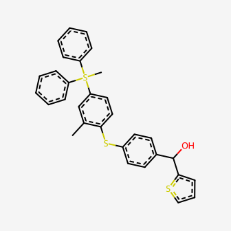 Cc1cc(S(C)(c2ccccc2)c2ccccc2)ccc1Sc1ccc(C(O)c2cccs2)cc1